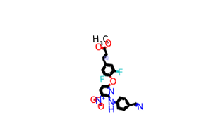 COC(=O)/C=C/c1cc(F)c(Oc2ccc([N+](=O)[O-])c(Nc3ccc(C#N)cc3)n2)c(F)c1